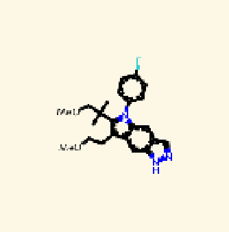 COCCc1c(C(C)(C)COC)n(-c2ccc(F)cc2)c2cc3cn[nH]c3cc12